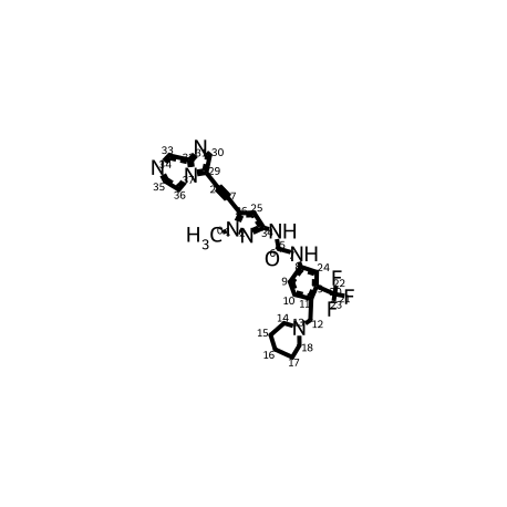 Cn1nc(NC(=O)Nc2ccc(CN3CCCCC3)c(C(F)(F)F)c2)cc1C#Cc1cnc2cnccn12